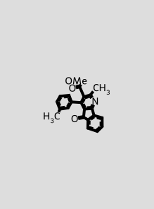 COC(=O)c1c(C)nc2c(c1-c1cccc(C)c1)C(=O)c1ccccc1-2